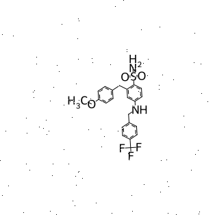 COc1ccc(Cc2cc(NCc3ccc(C(F)(F)F)cc3)ccc2S(N)(=O)=O)cc1